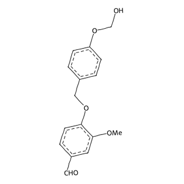 COc1cc(C=O)ccc1OCc1ccc(OCO)cc1